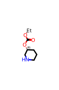 CCOC(=O)O[C@@H]1CCCNC1